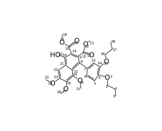 CCCOc1ccc(-c2c(C(=O)OC)c(C(=O)OC)c(O)c3cc(OC)c(OC)c(OC)c23)cc1OCCC